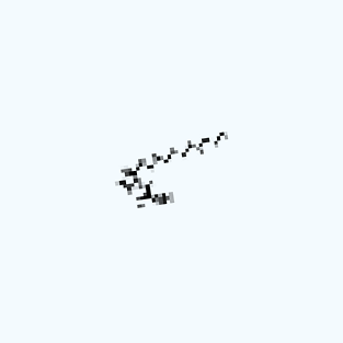 CCCCCCCCCCCc1nccn1CC(=O)O